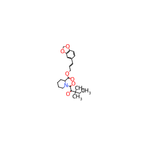 CCC(C)(C)C(=O)C(=O)N1CCCCC1C(=O)OCC=Cc1ccc2c(c1)OCO2